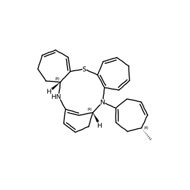 C[C@H]1C=CCC(N2C3=C(C=CCC=C3)SC3=CC=CCC[C@H]3NC3=C[C@H]2CC=C3)=CC1